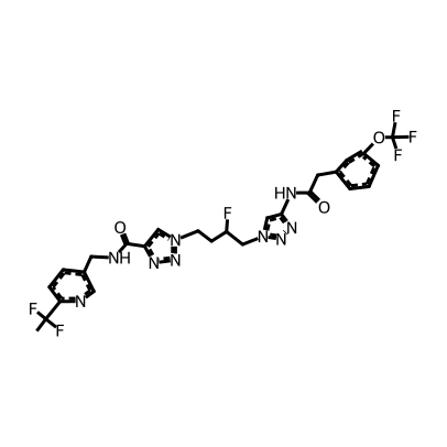 CC(F)(F)c1ccc(CNC(=O)c2cn(CCC(F)Cn3cc(NC(=O)Cc4cccc(OC(F)(F)F)c4)nn3)nn2)cn1